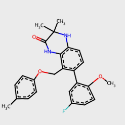 COc1ccc(F)cc1-c1ccc2c(c1COc1ccc(C)cc1)NC(=O)C(C)(C)N2